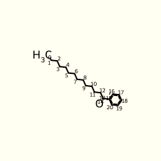 CCCCCCCCCCCCCC(=O)c1[c]cccc1